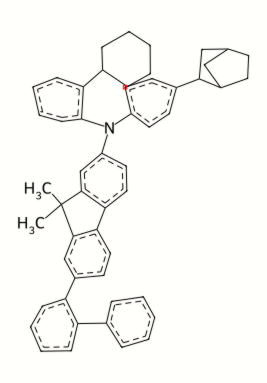 CC1(C)c2cc(-c3ccccc3-c3ccccc3)ccc2-c2ccc(N(c3ccc(C4CC5CCC4C5)cc3)c3ccccc3C3CCCCC3)cc21